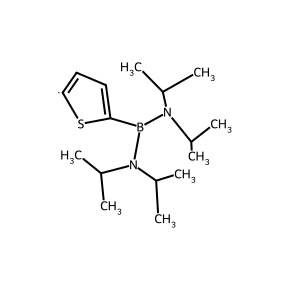 CC(C)N(B(c1cc[c]s1)N(C(C)C)C(C)C)C(C)C